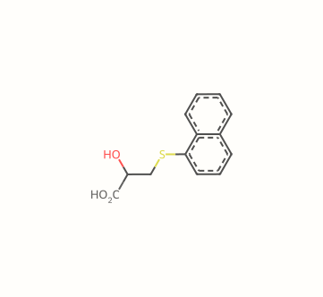 O=C(O)C(O)CSc1cccc2ccccc12